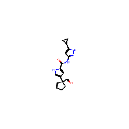 O=CC1(c2c[nH]c(C(=O)Nc3cc(C4CC4)[nH]n3)c2)CCCC1